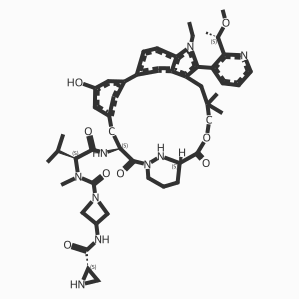 CCn1c(-c2cccnc2[C@H](C)OC)c2c3cc(ccc31)-c1cc(O)cc(c1)C[C@H](NC(=O)[C@H](C(C)C)N(C)C(=O)N1CC(NC(=O)[C@@H]3CN3)C1)C(=O)N1CCC[C@H](N1)C(=O)OCC(C)(C)C2